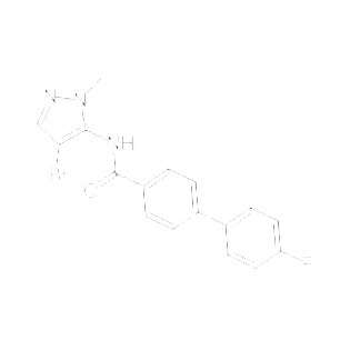 Cn1ncc(Br)c1NC(=O)c1ccc(-c2ccc(F)cc2)cc1